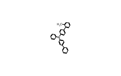 Cc1ccccc1-c1ccc(N(c2ccccc2)c2ccc(-c3ccccc3)cc2)cc1